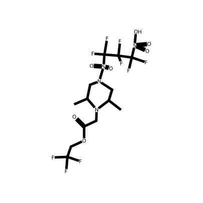 CC1CN(S(=O)(=O)C(F)(F)C(F)(F)C(F)(F)S(=O)(=O)O)CC(C)N1CC(=O)OCC(F)(F)F